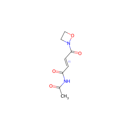 CC(=O)NC(=O)/C=C/C(=O)N1CCO1